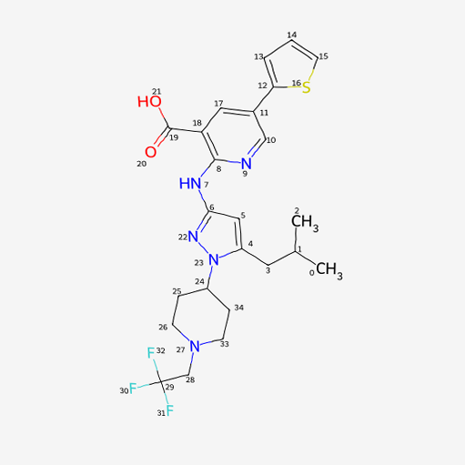 CC(C)Cc1cc(Nc2ncc(-c3cccs3)cc2C(=O)O)nn1C1CCN(CC(F)(F)F)CC1